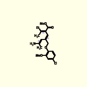 CC/C(C)=C(/C=C(\C=C(/C)N)COc1ccc(Cl)cc1OC)C(=O)OC